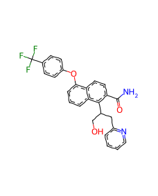 NC(=O)c1ccc2c(Oc3ccc(C(F)(F)F)cc3)cccc2c1C(CO)Cc1ccccn1